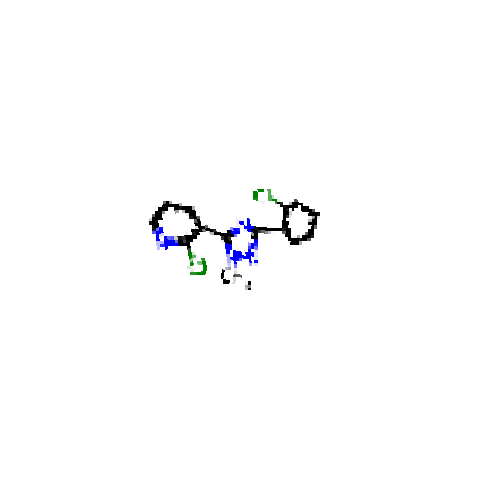 Cn1nc(-c2ccccc2Cl)nc1-c1cccnc1Cl